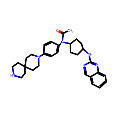 CC(=O)N(c1ccc(N2CCC3(CCNCC3)CC2)cc1)C1CCC(Nc2ncc3ccccc3n2)CC1